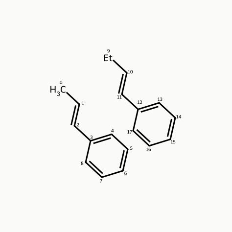 CC=Cc1ccccc1.CCC=Cc1ccccc1